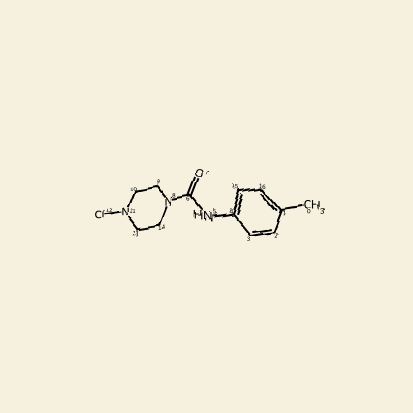 Cc1ccc(NC(=O)N2CCN(Cl)CC2)cc1